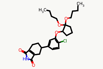 CCCCOC1(OCCCC)CCCC1Oc1cc(C2CCC3=C(C2)C(=O)NC3=O)ccc1Cl